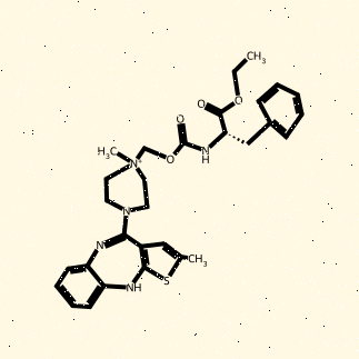 CCOC(=O)[C@H](Cc1ccccc1)NC(=O)OC[N+]1(C)CCN(C2=Nc3ccccc3Nc3sc(C)cc32)CC1